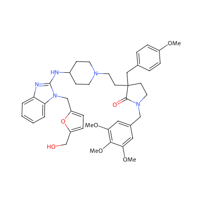 COc1ccc(CC2(CCN3CCC(Nc4nc5ccccc5n4Cc4ccc(CO)o4)CC3)CCN(Cc3cc(OC)c(OC)c(OC)c3)C2=O)cc1